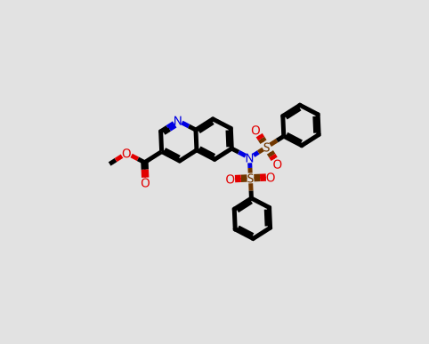 COC(=O)c1cnc2ccc(N(S(=O)(=O)c3ccccc3)S(=O)(=O)c3ccccc3)cc2c1